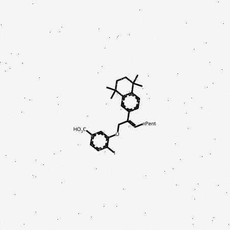 CCCCC/C=C(/COc1cc(C(=O)O)ccc1I)c1ccc2c(c1)C(C)(C)CCC2(C)C